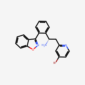 N[C@@H](Cc1cc(Br)ccn1)c1ccccc1-c1noc2ccccc12